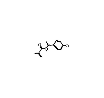 C=C(C)C(=O)OC(C)c1ccc(Cl)cc1